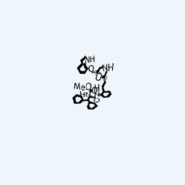 COC(=O)N[C@H](C(=O)Nc1ccccc1CC[C@@H]1CNC[C@@H](COc2cccc3cc[nH]c23)O1)C(c1ccccc1)c1ccccc1